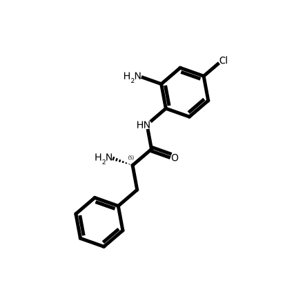 Nc1cc(Cl)ccc1NC(=O)[C@@H](N)Cc1ccccc1